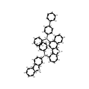 c1ccc(-c2ccc(N(c3ccccc3)c3cc4c(sc5cccc(N(c6ccccc6)c6ccc7c(c6)oc6ccccc67)c54)c4ccccc34)cc2)cc1